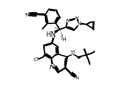 [2H][C@@](Nc1cc(Cl)c2ncc(C#N)c(NCC(C)(C)C)c2c1)(c1cn(C2CC2)nn1)c1cccc(C#N)c1C